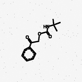 CC(C)(C)NC(=O)OCC(=O)c1ccccc1